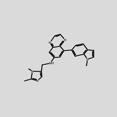 Cc1ncc(CNc2cc(-c3ccc4ccn(C)c4c3)c3nccnc3c2)n1C